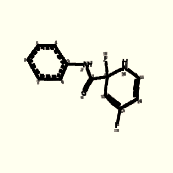 O=C(Nc1ccccc1)C1(F)C=C(F)C=CN1